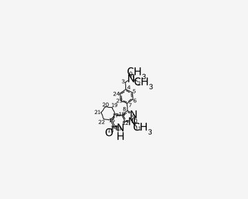 CN(C)Cc1ccc(-c2nn(C)c3[nH]c(=O)c4c(c23)CCCC4)cc1